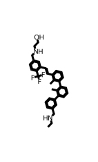 CCNCc1cccc(-c2cccc(-c3cccc(/C=C/c4cc(CNCCO)ccc4C(F)(F)F)c3C)c2C)c1